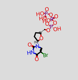 O=c1[nH]c(=O)n([C@@H]2CC[C@H](COP(=O)(O)OP(=O)(O)OP(=O)(O)O)O2)cc1Br